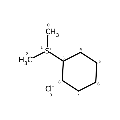 C[S+](C)C1CCCCC1.[Cl-]